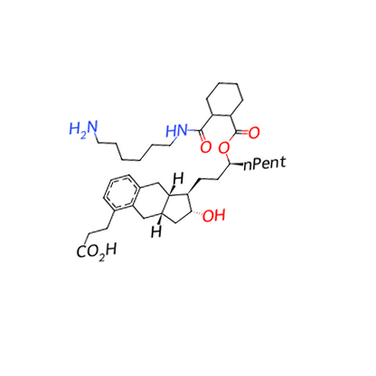 CCCCC[C@@H](CC[C@@H]1[C@H]2Cc3cccc(CCC(=O)O)c3C[C@H]2C[C@H]1O)OC(=O)C1CCCCC1C(=O)NCCCCCCN